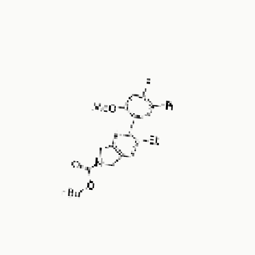 CCCCOC(=O)N1Cc2cc(CC)c(-c3cc(C(C)C)c(F)cc3OC)cc2C1